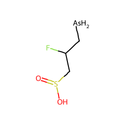 O=S(O)CC(F)C[AsH2]